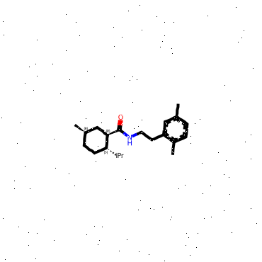 Cc1ccc(C)c(CCNC(=O)[C@@H]2C[C@H](C)CC[C@H]2C(C)C)c1